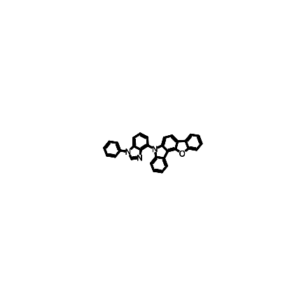 c1ccc(-n2cnc3c(-n4c5ccccc5c5c6oc7ccccc7c6ccc54)cccc32)cc1